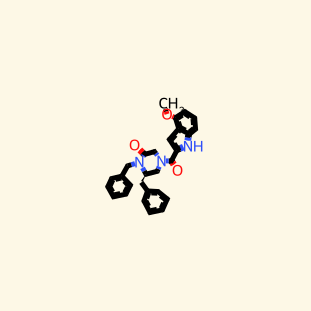 COc1cccc2[nH]c(C(=O)N3CC(=O)N(Cc4ccccc4)[C@@H](Cc4ccccc4)C3)cc12